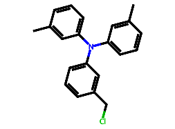 Cc1cccc(N(c2cccc(C)c2)c2cccc(CCl)c2)c1